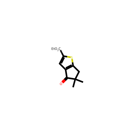 CCOC(=O)c1cc2c(s1)CC(C)(C)C2=O